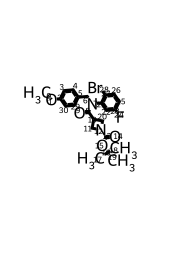 COc1ccc(CN(C(=O)C2CN(C(=O)OC(C)(C)C)C2)c2cc(F)ccc2Br)cc1